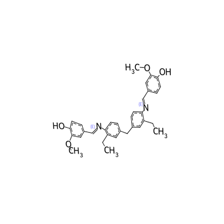 CCc1cc(Cc2ccc(/N=C/c3ccc(O)c(OC)c3)c(CC)c2)ccc1/N=C/c1ccc(O)c(OC)c1